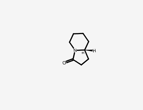 O=C1CC[C@H]2CCCCN12